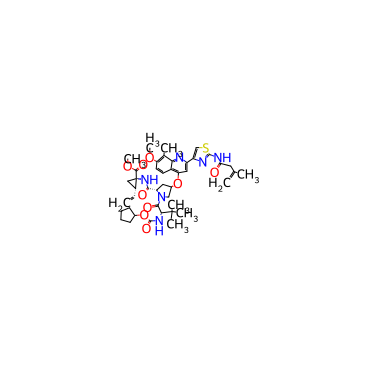 C=C[C@@H]1C[C@]1(NC(=O)[C@@H]1C[C@@H](Oc2cc(-c3csc(NC(=O)CC(=C)C)n3)nc3c(C)c(OC)ccc23)CN1C(=O)[C@@H](NC(=O)OC1CCCC1)C(C)(C)C)C(=O)OC